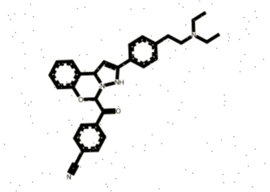 CCN(CC)CCc1ccc(C2=CC3c4ccccc4OC(C(=O)c4ccc(C#N)cc4)N3N2)cc1